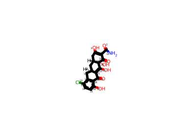 NC(=O)C1=C(O)C[C@@H]2C[C@@H]3Cc4c(Cl)ccc(O)c4C(=O)C3=C(O)[C@]2(O)C1=O